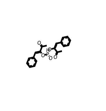 CC(=O)C(=Cc1ccccc1)O[PH](=O)OC(=Cc1ccccc1)C(C)=O